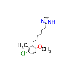 COc1ccc(Cl)c(C)c1CCCCCCc1ncc[nH]1